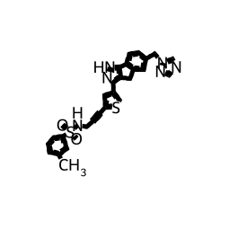 Cc1cccc(S(=O)(=O)NCC#Cc2cc(-c3n[nH]c4c3Cc3cc(Cn5cncn5)ccc3-4)cs2)c1